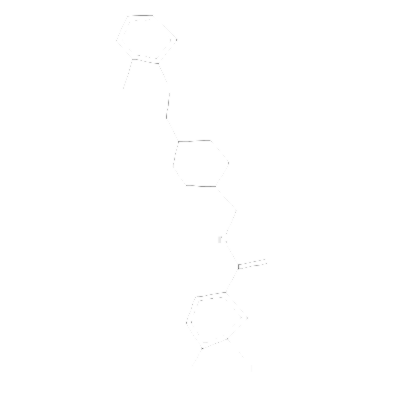 O=C(NCC1CCC(COc2ccccc2F)CC1)c1ccc(O)c(F)c1